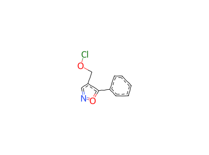 ClOCc1cnoc1-c1ccccc1